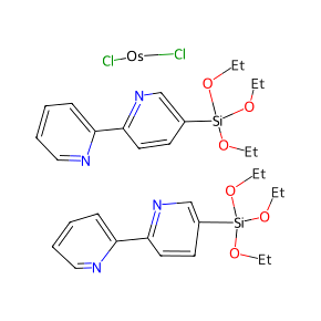 CCO[Si](OCC)(OCC)c1ccc(-c2ccccn2)nc1.CCO[Si](OCC)(OCC)c1ccc(-c2ccccn2)nc1.[Cl][Os][Cl]